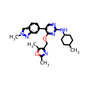 Cc1nc(COc2nc(NC3CCC(C)CC3)ncc2-c2ccc3cn(C)nc3c2)c(C)o1